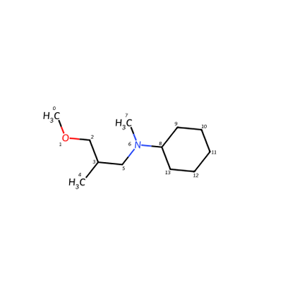 COCC(C)CN(C)C1CCCCC1